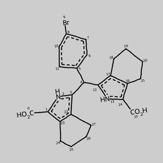 O=C(O)c1[nH]c(C(c2ccc(Br)cc2)c2[nH]c(C(=O)O)c3c2CCCC3)c2c1CCCC2